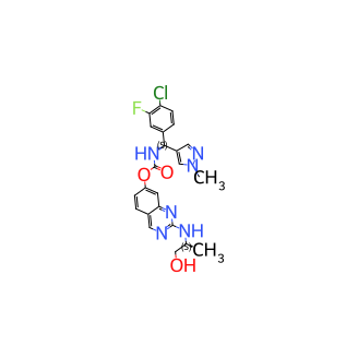 C[C@@H](CO)Nc1ncc2ccc(OC(=O)N[C@@H](c3ccc(Cl)c(F)c3)c3cnn(C)c3)cc2n1